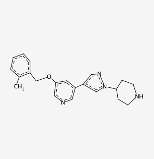 Cc1ccccc1COc1cncc(-c2cnn(C3CCNCC3)c2)c1